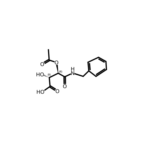 CC(=O)O[C@@H](C(=O)NCc1ccccc1)[C@@H](O)C(=O)O